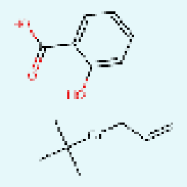 C=C[CH2][Ca][C](C)(C)C.O=C(O)c1ccccc1O